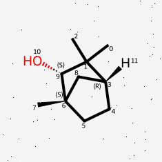 CC1(C)[C@@H]2CC[C@@](C)(C2)[C@@H]1O